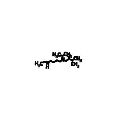 CCNCCCCN(CC(=O)C(C)C)C(C)C